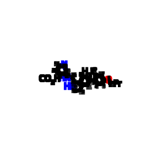 CCCOc1ccc(-c2ccc3c(c2)CCNC3CNc2cnccc2C(=O)O)c(C)c1